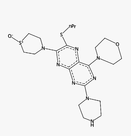 CCCSc1nc2c(N3CCOCC3)nc(N3CCNCC3)nc2nc1N1CC[S+]([O-])CC1